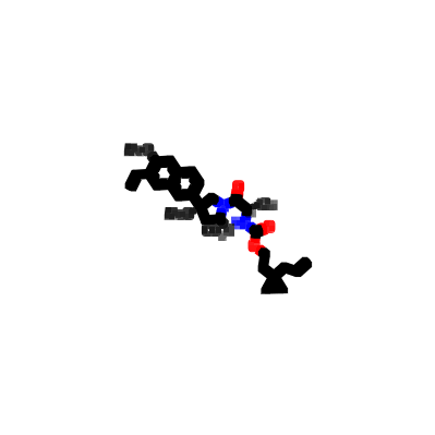 C=CCC1(CCOC(=O)N[C@H](C(=O)N2C[C@](OC)(c3ccc4cc(OC)c(C=C)cc4c3)CC2C(=O)O)C(C)(C)C)CC1